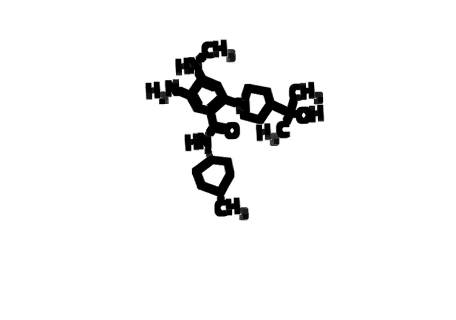 CNc1cc(N2CCC(C(C)(C)O)CC2)c(C(=O)N[C@H]2CC[C@H](C)CC2)cc1N